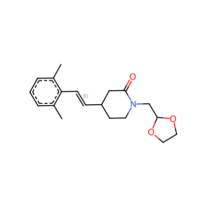 Cc1cccc(C)c1/C=C/C1CCN(CC2OCCO2)C(=O)C1